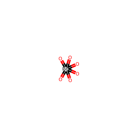 [O]=[Re](=[O])(=[O])(=[O])(=[O])=[O]